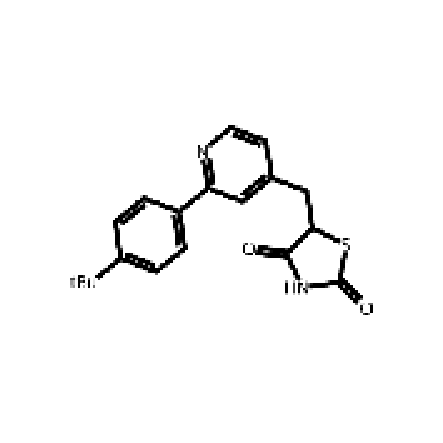 CC(C)(C)c1ccc(-c2cc(CC3SC(=O)NC3=O)ccn2)cc1